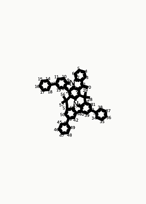 C=c1c2ccccc2n2c3ccc(-c4ccccc4)cc3c3c4c5c(c1c32)C(C)(C)c1cc(-c2ccccc2)cc2c3cc(-c6ccccc6)cc(c3n-5c12)C4(C)C